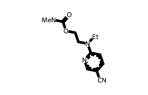 CCN(CCOC(=O)NC)c1ccc(C#N)cn1